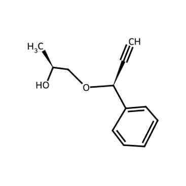 C#C[C@H](OC[C@H](C)O)c1ccccc1